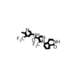 Cc1ncc(NC(=O)c2cnn(-c3cccc4c(=O)[nH]ccc34)c2C(F)(F)F)cc1C(F)(F)F